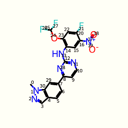 Cn1ncc2ccc(-c3ccnc(Nc4cc([N+](=O)[O-])c(F)cc4OC(F)F)n3)cc21